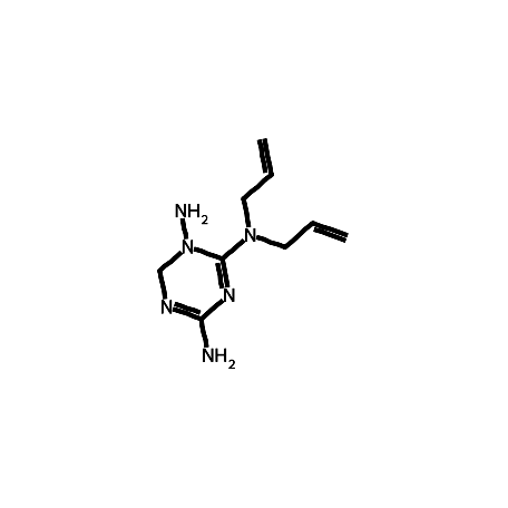 C=CCN(CC=C)C1=NC(N)=NCN1N